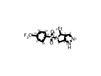 CCC1c2cn[nH]c2CN1S(=O)(=O)c1ccc(C(F)(F)F)cc1